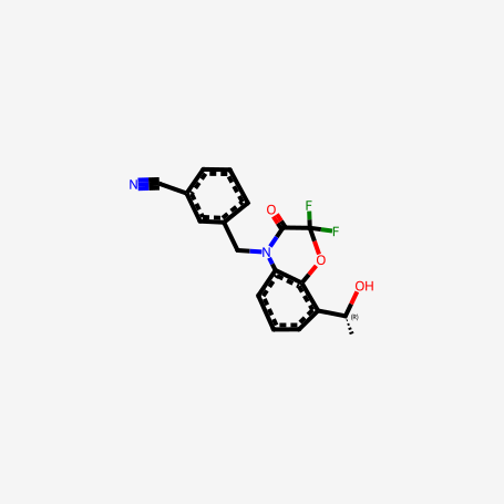 C[C@@H](O)c1cccc2c1OC(F)(F)C(=O)N2Cc1cccc(C#N)c1